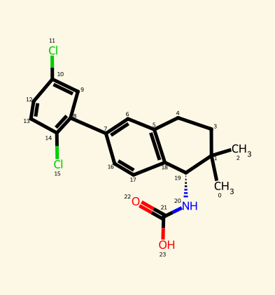 CC1(C)CCc2cc(-c3cc(Cl)ccc3Cl)ccc2[C@H]1NC(=O)O